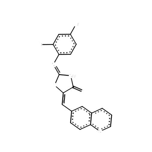 O=C1NC(=Nc2ccc(C(F)(F)F)cc2Cl)SC1=Cc1ccc2ncccc2c1